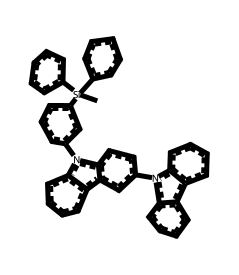 C[Si](c1ccccc1)(c1ccccc1)c1cccc(-n2c3ccccc3c3cc(-n4c5ccccc5c5ccccc54)ccc32)c1